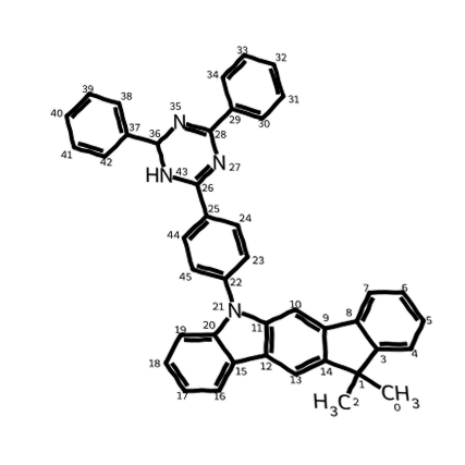 CC1(C)c2ccccc2-c2cc3c(cc21)c1ccccc1n3-c1ccc(C2=NC(c3ccccc3)=NC(c3ccccc3)N2)cc1